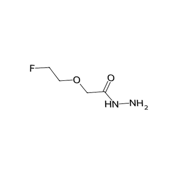 NNC(=O)COCCF